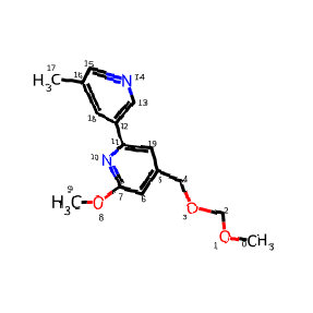 COCOCc1cc(OC)nc(-c2cncc(C)c2)c1